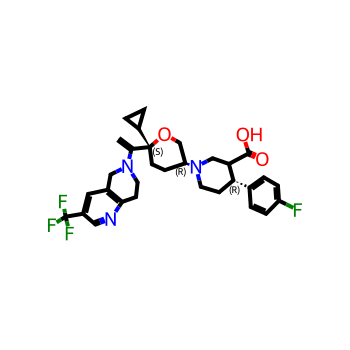 C=C(N1CCc2ncc(C(F)(F)F)cc2C1)[C@@]1(C2CC2)CC[C@@H](N2CC[C@@H](c3ccc(F)cc3)C(C(=O)O)C2)CO1